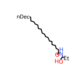 CCCCCCCCCCCCCCCCCCCCCCCCCCCC(=O)NC(CC)CO